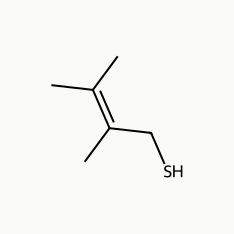 CC(C)=C(C)CS